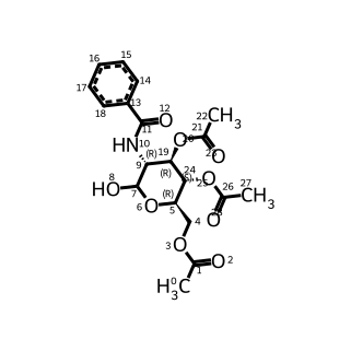 CC(=O)OC[C@H]1OC(O)[C@H](NC(=O)c2ccccc2)[C@@H](OC(C)=O)[C@@H]1OC(C)=O